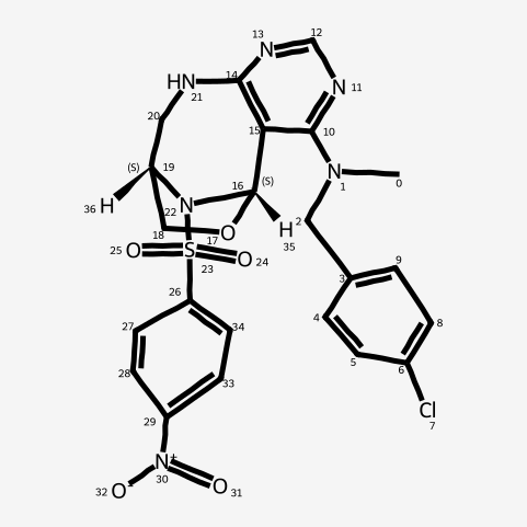 CN(Cc1ccc(Cl)cc1)c1ncnc2c1[C@@H]1OC[C@H](CN2)N1S(=O)(=O)c1ccc([N+](=O)[O-])cc1